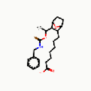 CC(OC(=S)NCc1ccccc1)C1C2CCC(O2)C1CCCCCCC(=O)O